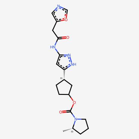 C[C@H]1CCCN1C(=O)OC1CC[C@H](c2cc(NC(=O)Cc3cnco3)n[nH]2)C1